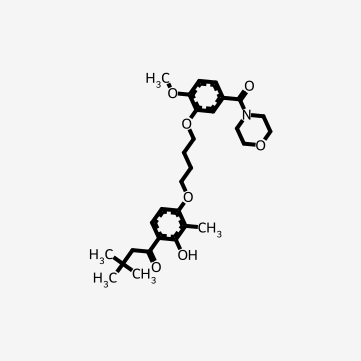 COc1ccc(C(=O)N2CCOCC2)cc1OCCCCOc1ccc(C(=O)CC(C)(C)C)c(O)c1C